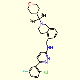 [2H]C([2H])(C1CCOCC1)N1CCc2c(CNc3ccc(-c4cc(F)ccc4Cl)nn3)cccc2C1